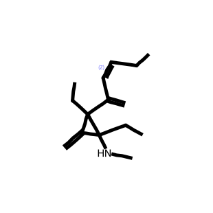 C=C(/C=C\CC)C1(CC)C(=C)C1(CC)NC